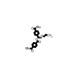 C=CCON=C(OC(=O)c1ccc(C(=O)C(C)(C)C)cc1)c1ccc(C(=O)C(C)(C)C)cc1